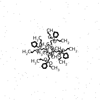 C=CCO[Si](CC[Si]1(C)O[Si](C)(CC[Si](OCC=C)(OCC=C)c2ccccc2)O[Si](C)(CC[Si](OCC=C)(OCC=C)c2ccccc2)O[Si](C)(CC[Si](OCC=C)(OCC=C)c2ccccc2)O1)(OCC)c1ccccc1